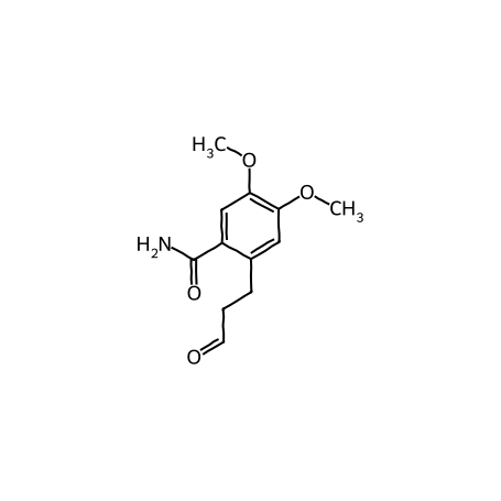 COc1cc(CCC=O)c(C(N)=O)cc1OC